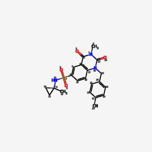 Cn1c(=O)c2cc(S(=O)(=O)NC3(C)CC3)ccc2n(Cc2ccc(C#N)cc2)c1=O